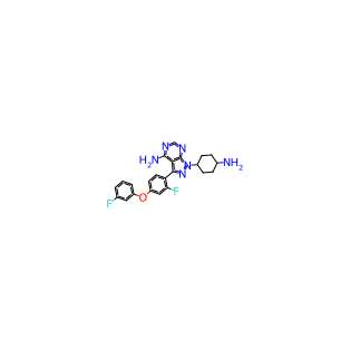 Nc1ncnc2c1c(-c1ccc(Oc3cccc(F)c3)cc1F)nn2C1CCC(N)CC1